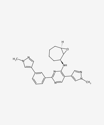 Cn1cc(-c2cccc(-c3ncc(-c4cnn(C)c4)c(N[C@H]4CCCC[C@H]5OC45)n3)c2)cn1